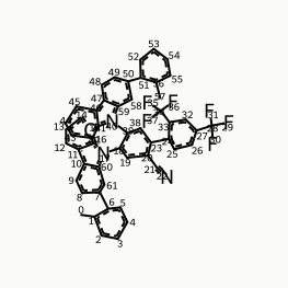 Cc1ccccc1-c1ccc2c3ccccc3n(-c3cc(C#N)c(-c4ccc(C(F)(F)F)cc4C(F)(F)F)cc3-n3c4ccccc4c4ccc(-c5ccccc5C)cc43)c2c1